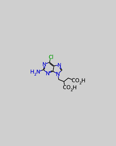 Nc1nc(Cl)c2ncn(CC(CC(=O)O)C(=O)O)c2n1